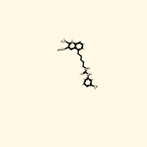 CCCCCc1cc2c(CCCCCNC(=O)Nc3cccc(C#N)c3)cccc2nc1N